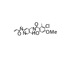 C=CC(=O)N(C)c1cc2c(cn1)CCN(C(=O)c1c(O)cc(OC)c(Cl)c1C)C2